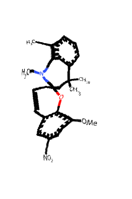 COc1cc([N+](=O)[O-])cc2c1OC1(C=C2)N(C)c2c(C)cccc2C1(C)C